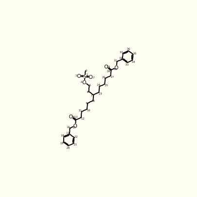 CS(=O)(=O)OCCC(CCCCCC(=O)OCc1ccccc1)CCCCCC(=O)OCc1ccccc1